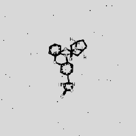 CC(C)(C)OC(=O)N1[C@@H]2CC[C@H]1C[C@@H](N1c3ccccc3Oc3cc(-c4noc(=O)[nH]4)ccc31)C2